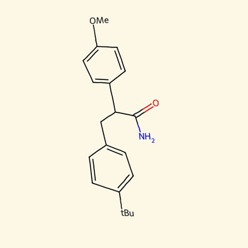 COc1ccc(C(Cc2ccc(C(C)(C)C)cc2)C(N)=O)cc1